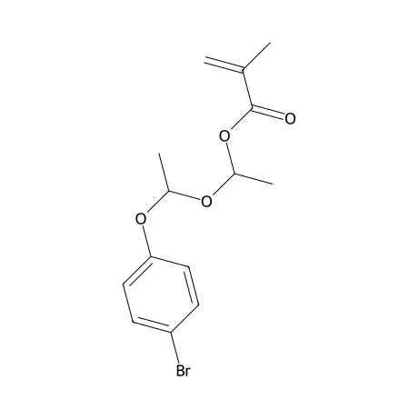 C=C(C)C(=O)OC(C)OC(C)Oc1ccc(Br)cc1